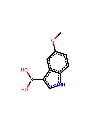 COc1ccc2[nH]cc(B(O)O)c2c1